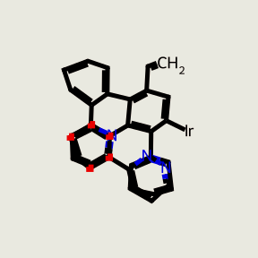 C=Cc1c[c]([Ir])c(-c2ccccn2)c(-c2ccccc2-c2ccccn2)c1-c1ccccc1-c1ccccn1